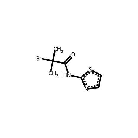 CC(C)(Br)C(=O)Nc1nccs1